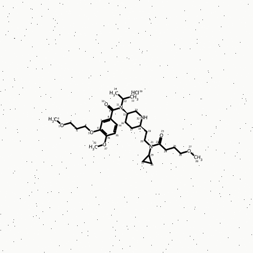 COCCCOc1cc(C(=O)N(C(C)C)[C@@H]2CC[C@H](CCN(C(=O)CCCOC)C3CC3)NC2)ccc1OC.Cl